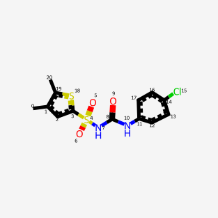 Cc1cc(S(=O)(=O)NC(=O)Nc2ccc(Cl)cc2)sc1C